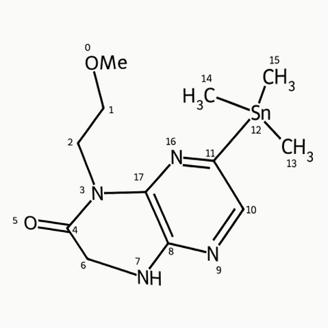 COCCN1C(=O)CNc2nc[c]([Sn]([CH3])([CH3])[CH3])nc21